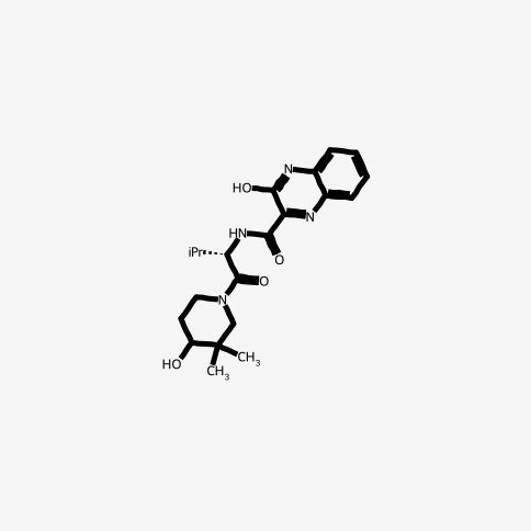 CC(C)[C@H](NC(=O)c1nc2ccccc2nc1O)C(=O)N1CCC(O)C(C)(C)C1